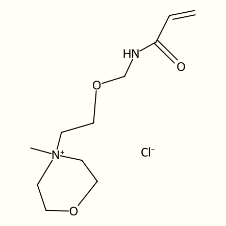 C=CC(=O)NCOCC[N+]1(C)CCOCC1.[Cl-]